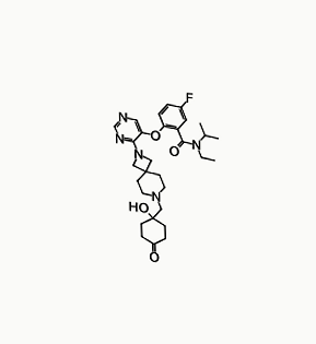 CCN(C(=O)c1cc(F)ccc1Oc1cncnc1N1CC2(CCN(CC3(O)CCC(=O)CC3)CC2)C1)C(C)C